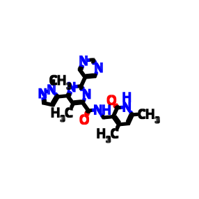 Cc1cc(C)c(CNC(=O)c2nc(-c3cncnc3)nc(-c3ccnn3C)c2C)c(=O)[nH]1